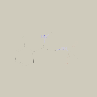 CS(=O)(=O)NCC(NC(=O)O)c1ccccc1Cl